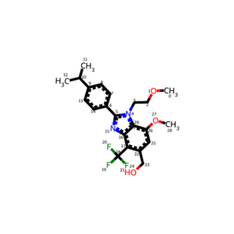 COCCn1c(-c2ccc(C(C)C)cc2)nc2c(C(F)(F)F)c(CO)cc(OC)c21